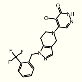 O=c1[nH]ncc(N2CCc3c(cnn3Cc3ccccc3C(F)(F)F)C2)c1Cl